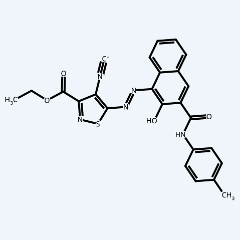 [C-]#[N+]c1c(C(=O)OCC)nsc1/N=N/c1c(O)c(C(=O)Nc2ccc(C)cc2)cc2ccccc12